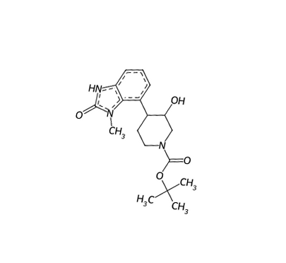 Cn1c(=O)[nH]c2cccc(C3CCN(C(=O)OC(C)(C)C)CC3O)c21